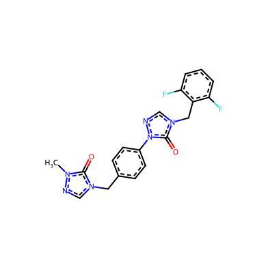 Cn1ncn(Cc2ccc(-n3ncn(Cc4c(F)cccc4F)c3=O)cc2)c1=O